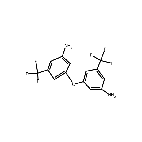 Nc1cc(Oc2cc(N)cc(C(F)(F)F)c2)cc(C(F)(F)F)c1